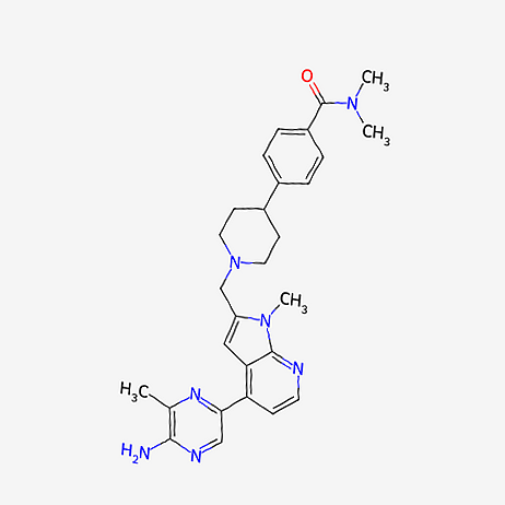 Cc1nc(-c2ccnc3c2cc(CN2CCC(c4ccc(C(=O)N(C)C)cc4)CC2)n3C)cnc1N